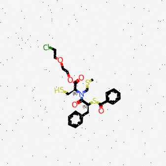 CSCN(C(=O)[C@H](Cc1ccccc1)SC(=O)c1ccccc1)[C@@H](CS)C(=O)OCCOCCCl